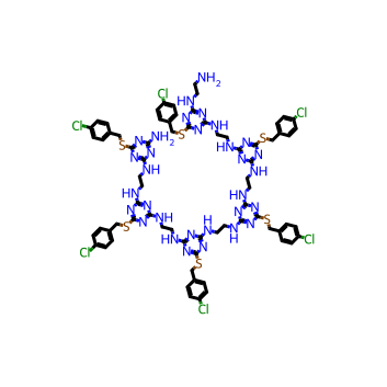 NCCNc1nc(NCCNc2nc(NCCNc3nc(NCCNc4nc(NCCNc5nc(NCCNc6nc(N)nc(SCc7ccc(Cl)cc7)n6)nc(SCc6ccc(Cl)cc6)n5)nc(SCc5ccc(Cl)cc5)n4)nc(SCc4ccc(Cl)cc4)n3)nc(SCc3ccc(Cl)cc3)n2)nc(SCc2ccc(Cl)cc2)n1